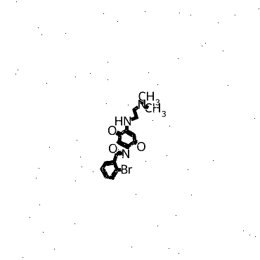 CN(C)CCNC1=CC(=O)c2nc(-c3ccccc3Br)oc2C1=O